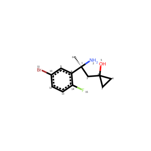 C[C@](N)(CC1(O)CC1)c1cc(Br)ccc1F